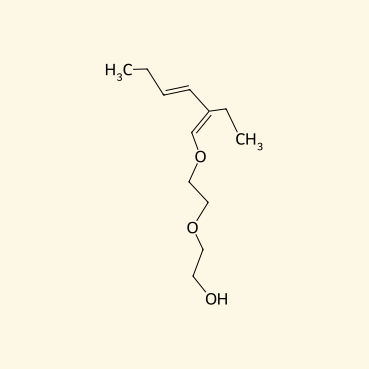 CCC=CC(=COCCOCCO)CC